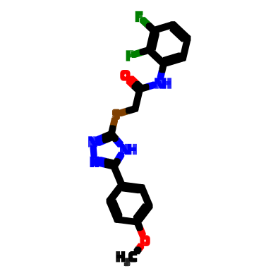 COc1ccc(-c2nnc(SCC(=O)Nc3cccc(F)c3F)[nH]2)cc1